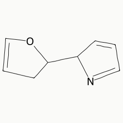 C1=CC(C2CC=CO2)N=C1